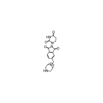 O=C1CCN(N2C(=O)c3ccc(CN4C5CCC4CNC5)cc3C2=O)C(=O)N1